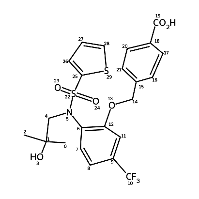 CC(C)(O)CN(c1ccc(C(F)(F)F)cc1OCc1ccc(C(=O)O)cc1)S(=O)(=O)c1cccs1